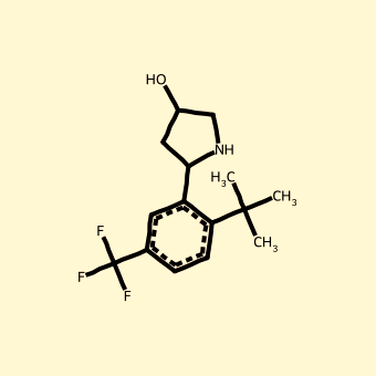 CC(C)(C)c1ccc(C(F)(F)F)cc1C1CC(O)CN1